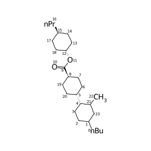 CCCCC1CCC([C@H]2CC[C@H](C(=O)O[C@H]3CC[C@H](CCC)CC3)CC2)C(C)C1